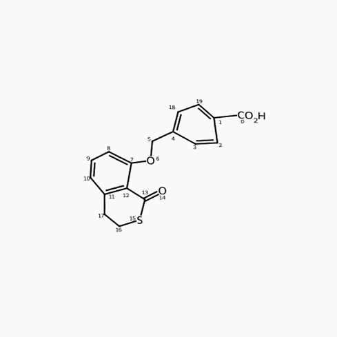 O=C(O)c1ccc(COc2cccc3c2C(=O)SCC3)cc1